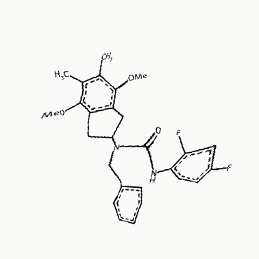 COc1c(C)c(C)c(OC)c2c1CC(N(Cc1ccccc1)C(=O)Nc1ccc(F)cc1F)C2